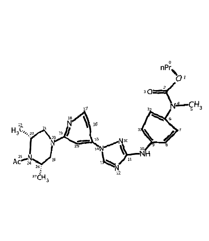 CCCOC(=O)N(C)c1ccc(Nc2ncn(-c3ccnc(N4C[C@@H](C)N(C(C)=O)[C@@H](C)C4)c3)n2)cc1